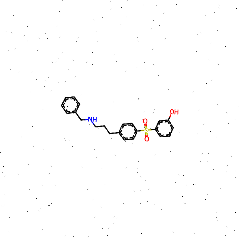 O=S(=O)(c1ccc(CCCNCc2ccccc2)cc1)c1cccc(O)c1